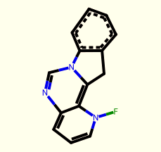 FN1C=CC=C2N=CN3C(=C21)Cc1ccccc13